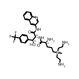 C[N+](CCN)(CCN)CCC[C@H](N)C(=O)N[C@@H](C(=O)Nc1cnc2ccccc2c1)[C@@H](O)c1ccc(C(F)(F)F)cc1